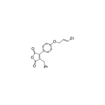 CCC=CCOc1ccc(C2=C(CC(C)C)C(=O)OC2=O)cc1